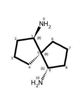 N[C@@H]1CCC[C@@]12CCC[C@@H]2N